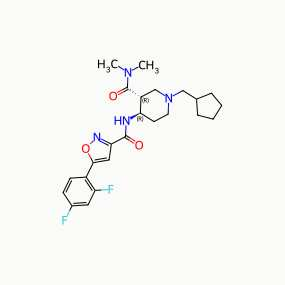 CN(C)C(=O)[C@@H]1CN(CC2CCCC2)CC[C@H]1NC(=O)c1cc(-c2ccc(F)cc2F)on1